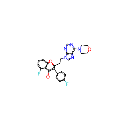 O=c1c(-c2ccc(F)cc2)c(CCn2cnc3c(N4CCOCC4)ncnc32)oc2cccc(F)c12